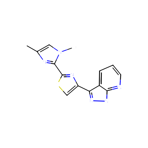 CCn1cc(C)nc1-c1nc(-c2n[nH]c3ncccc23)cs1